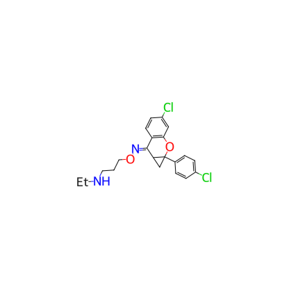 CCNCCCON=C1c2ccc(Cl)cc2OC2(c3ccc(Cl)cc3)CC12